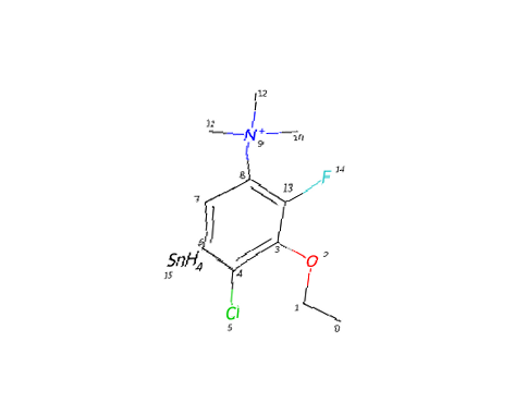 CCOc1c(Cl)ccc([N+](C)(C)C)c1F.[SnH4]